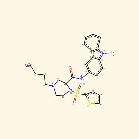 CCn1c2ccccc2c2cc(NC(=O)C3CN(CCCSC)CCN3S(=O)(=O)c3cccs3)ccc21